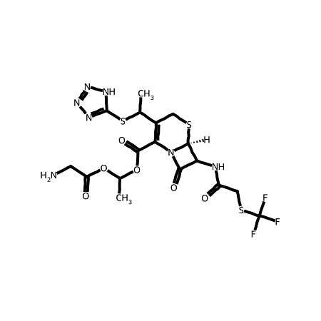 CC(OC(=O)CN)OC(=O)C1=C(C(C)Sc2nnn[nH]2)CS[C@H]2C(NC(=O)CSC(F)(F)F)C(=O)N12